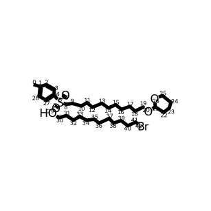 Cc1ccc(S(=O)(=O)CCCCCCCCCCCCOC2CCCCO2)cc1.OCCCCCCCCCCCCBr